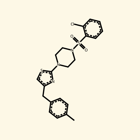 Cc1ccc(Cc2csc(N3CCN(S(=O)(=O)c4ccccc4Cl)CC3)n2)cc1